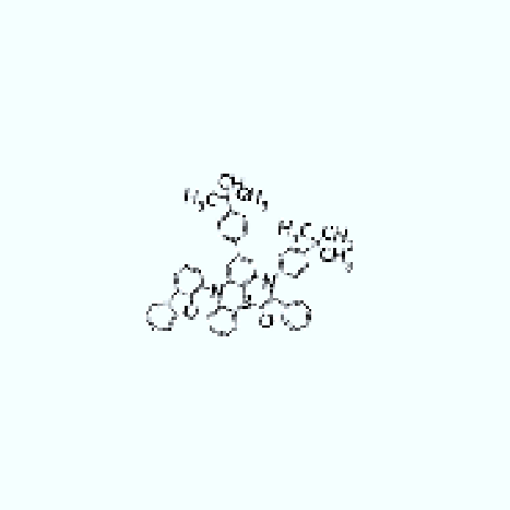 CC(C)(C)c1ccc(-c2cc3c4c(c2)N(c2cccc5c2oc2ccccc25)c2ccccc2B4c2oc4ccccc4c2N3c2ccc(C(C)(C)C)cc2)cc1